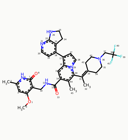 COc1cc(C)[nH]c(=O)c1CNC(=O)c1cc2c(-c3ccnc4c3CCN4)ccn2c(C(C)=C2CCN(CC(F)(F)F)CC2)c1C